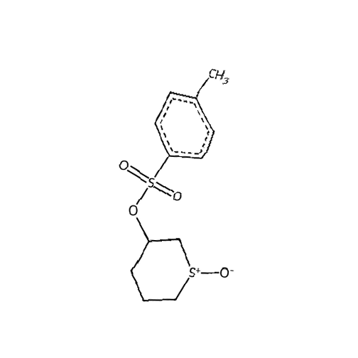 Cc1ccc(S(=O)(=O)OC2CCC[S+]([O-])C2)cc1